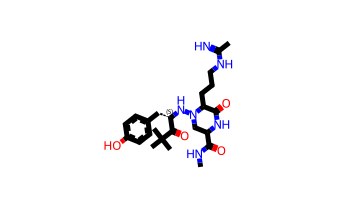 CNC(=O)C1CN(N[C@@H](Cc2ccc(O)cc2)C(=O)C(C)(C)C)C(CCCNC(C)=N)C(=O)N1